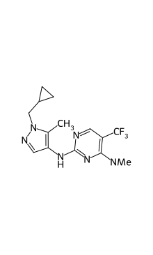 CNc1nc(Nc2cnn(CC3CC3)c2C)ncc1C(F)(F)F